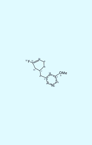 COc1cncc(CC2CCC=C(F)C2)c1